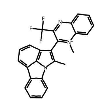 Cc1c(-c2c(C(F)(F)F)nc3ccccc3[n+]2C)c2cccc3c4ccccc4n1c23